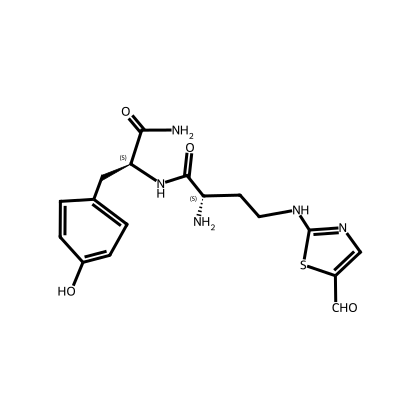 NC(=O)[C@H](Cc1ccc(O)cc1)NC(=O)[C@@H](N)CCNc1ncc(C=O)s1